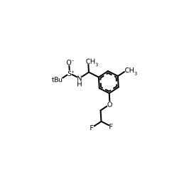 Cc1cc(OCC(F)F)cc(C(C)N[S+]([O-])C(C)(C)C)c1